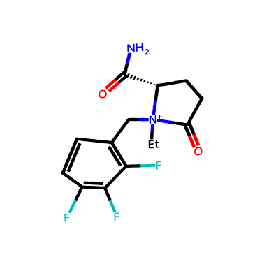 CC[N+]1(Cc2ccc(F)c(F)c2F)C(=O)CC[C@H]1C(N)=O